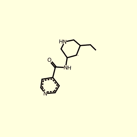 CCC1[CH]C(NC(=O)c2ccncc2)CNC1